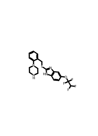 FC(F)C(F)(F)Oc1ccc2[nH]c(SCc3ccccc3N3CCNCC3)nc2c1